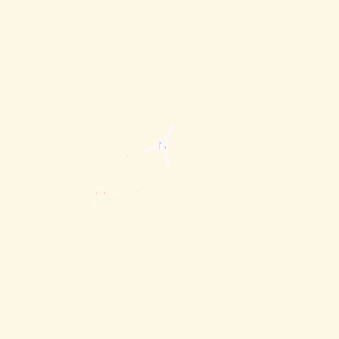 CC1=C2CCCCC2=C(C)C2(CN(C(c3ccccc3)c3ccccc3)C2)O1